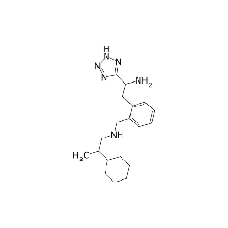 CC(CNCc1ccccc1CC(N)c1nn[nH]n1)C1CCCCC1